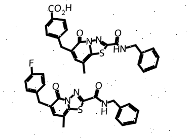 Cc1cc(Cc2ccc(C(=O)O)cc2)c(=O)n2nc(C(=O)NCc3ccccc3)sc12.Cc1cc(Cc2ccc(F)cc2)c(=O)n2nc(C(=O)NCc3ccccc3)sc12